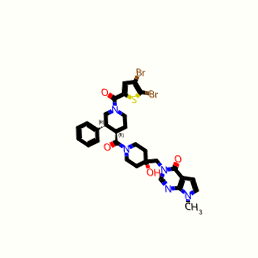 Cn1ccc2c(=O)n(CC3(O)CCN(C(=O)[C@@H]4CCN(C(=O)c5cc(Br)c(Br)s5)C[C@H]4c4ccccc4)CC3)cnc21